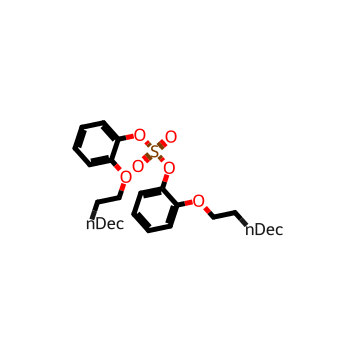 CCCCCCCCCCCCOc1ccccc1OS(=O)(=O)Oc1ccccc1OCCCCCCCCCCCC